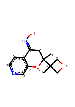 CC1(C2(C)C/C(=N\O)c3ccncc3O2)COC1